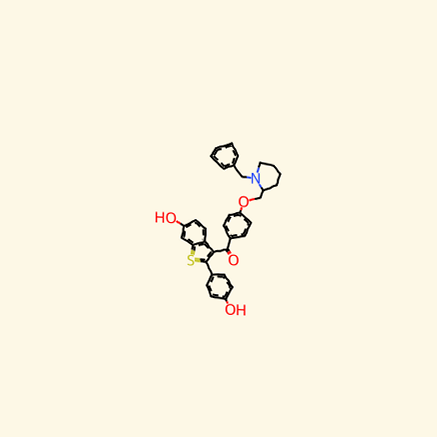 O=C(c1ccc(OCC2CCCCN2Cc2ccccc2)cc1)c1c(-c2ccc(O)cc2)sc2cc(O)ccc12